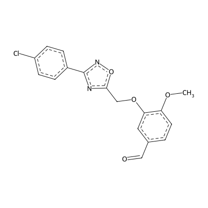 COc1ccc(C=O)cc1OCc1nc(-c2ccc(Cl)cc2)no1